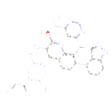 C=CC(=O)N1CC2CNc3c(c4cc(F)c(-c5c(C)ccc6[nH]ncc56)c(F)c4n(-c4c(C(C)C)ncnc4C(C)C)c3=O)N2CC1C